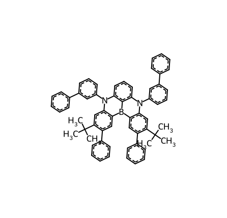 CC(C)(C)c1cc2c(cc1-c1ccccc1)B1c3cc(-c4ccccc4)c(C(C)(C)C)cc3N(c3cccc(-c4ccccc4)c3)c3cccc(c31)N2c1cccc(-c2ccccc2)c1